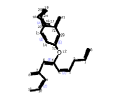 C=CC/C=C\C(=C/C(=C)/C=C\C)OC(/C=C\C(C)C=C)=C/C(=C)/C=C\C